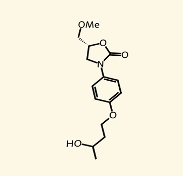 COC[C@H]1CN(c2ccc(OCCC(C)O)cc2)C(=O)O1